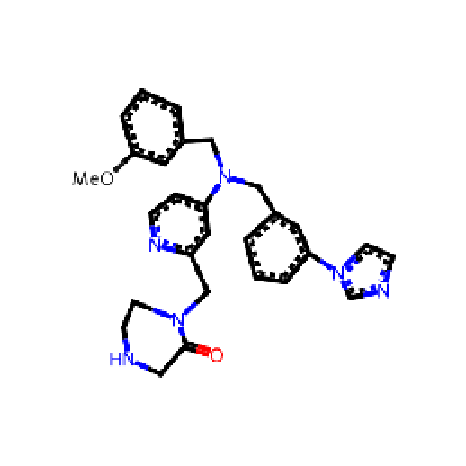 COc1cccc(CN(Cc2cccc(-n3ccnc3)c2)c2ccnc(CN3CCNCC3=O)c2)c1